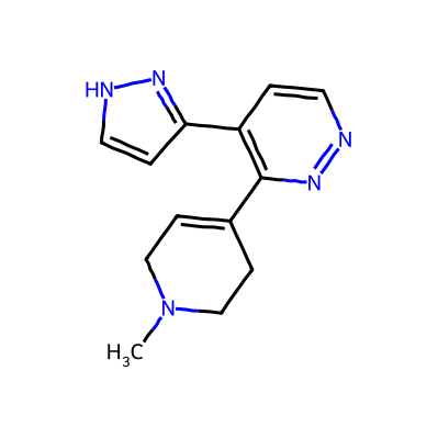 CN1CC=C(c2nnccc2-c2cc[nH]n2)CC1